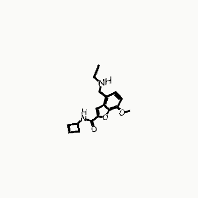 CCNCc1ccc(OC)c2oc(C(=O)NC3CCC3)cc12